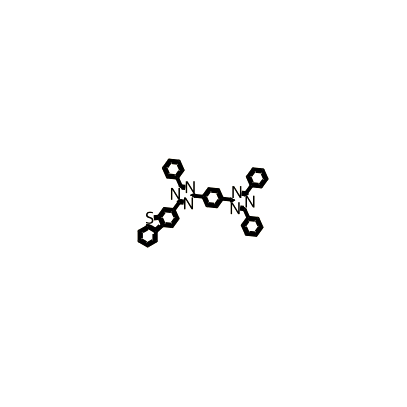 c1ccc(-c2nc(-c3ccccc3)nc(-c3ccc(-c4nc(-c5ccccc5)nc(-c5ccc6c(c5)sc5ccccc56)n4)cc3)n2)cc1